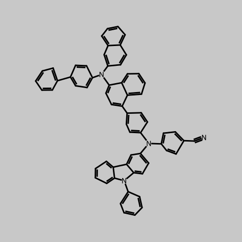 N#Cc1ccc(N(c2ccc(-c3ccc(N(c4ccc(-c5ccccc5)cc4)c4ccc5ccccc5c4)c4ccccc34)cc2)c2ccc3c(c2)c2ccccc2n3-c2ccccc2)cc1